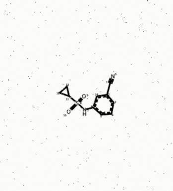 N#Cc1cccc(NS(=O)(=O)C2CC2)c1